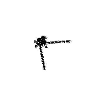 CCOC(=O)c1cc(C2(c3ccc(OCCOCCOCCOCCOCCOCCOC)c(C(=O)OCC)c3)c3cc(Br)ccc3-c3ccc(Br)cc32)ccc1OCCOCCOCCOCCOCCOCCOC